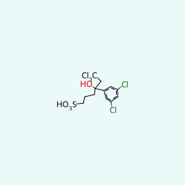 O=S(=O)(O)CCCC(O)(CC(Cl)(Cl)Cl)c1cc(Cl)cc(Cl)c1